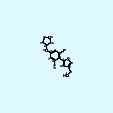 OCc1csc(-c2c(F)cc(O[C@H]3CCOC3)cc2F)n1